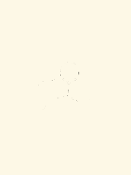 C[S-].C[S-].[CH3][Sn+2][c]1ccccc1C(C)N